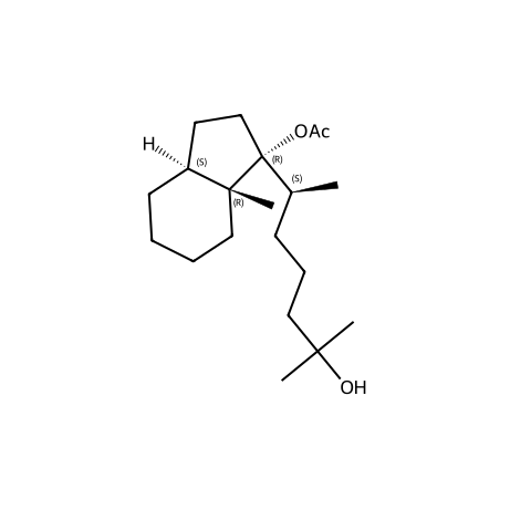 CC(=O)O[C@@]1([C@@H](C)CCCC(C)(C)O)CC[C@@H]2CCCC[C@]21C